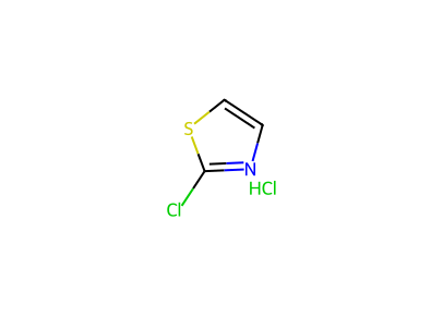 Cl.Clc1nccs1